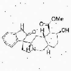 COC(=O)[C@@H]1[C@H]2C[C@@H]3N(CC[C@@]34C(=O)Nc3ccccc34)C[C@@H]2CC[C@@H]1O